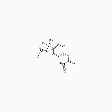 C=C(Cc1ccc(C(C)(F)COC)cc1)N=O